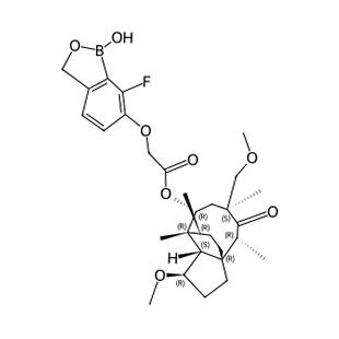 COC[C@]1(C)C[C@@H](OC(=O)COc2ccc3c(c2F)B(O)OC3)[C@]2(C)[C@H](C)CC[C@]3(CC[C@@H](OC)[C@@H]32)[C@@H](C)C1=O